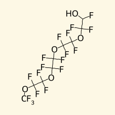 OC(F)C(F)(F)OC(F)(F)C(F)(F)OC(F)(F)C(F)(F)OC(F)(F)C(F)(F)OC(F)(F)F